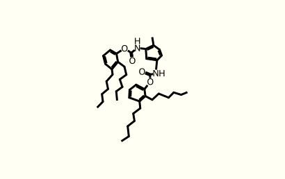 CCCCCCc1cccc(OC(=O)Nc2ccc(C)c(NC(=O)Oc3cccc(CCCCCC)c3CCCCCC)c2)c1CCCCCC